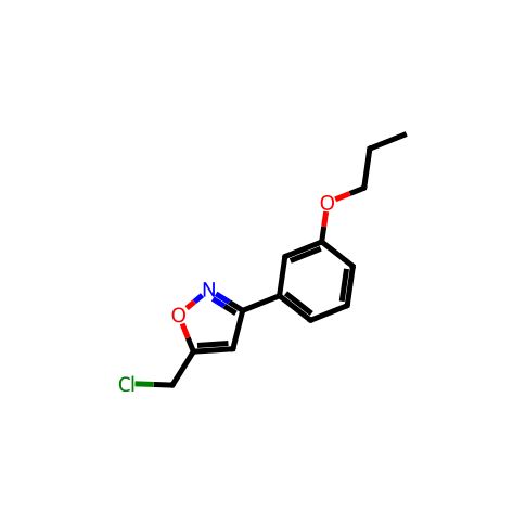 CCCOc1cccc(-c2cc(CCl)on2)c1